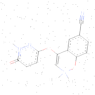 Cn1nc(OC2=C[N+](C)(C)Oc3ccc(C#N)cc32)ccc1=O